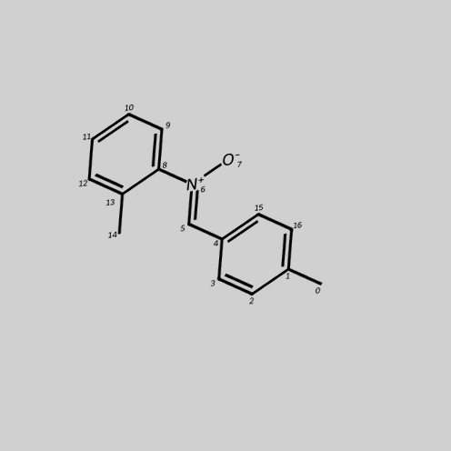 Cc1ccc(C=[N+]([O-])c2ccccc2C)cc1